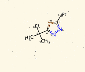 CCC(C)(C)c1nnc(C(C)C)s1